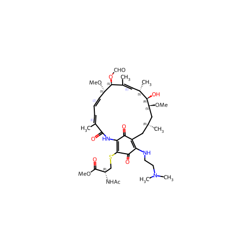 COC(=O)[C@H](CSC1=C2NC(=O)/C(C)=C/C=C\[C@H](OC)[C@@H](OC=O)/C(C)=C/[C@H](C)[C@@H](O)[C@@H](OC)C[C@H](C)CC(=C(NCCN(C)C)C1=O)C2=O)NC(C)=O